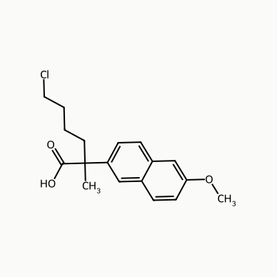 COc1ccc2cc(C(C)(CCCCCl)C(=O)O)ccc2c1